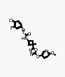 COc1ccc(Oc2nnc(C3(C)C=C(NC(=O)COc4ccc(Cl)c(F)c4)C3)o2)cn1